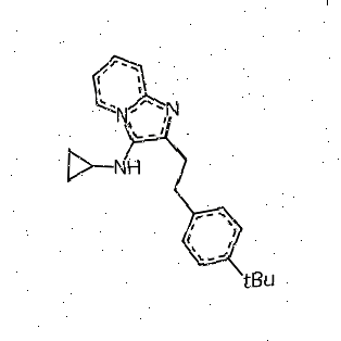 CC(C)(C)c1ccc(CCc2nc3ccccn3c2NC2CC2)cc1